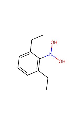 CCc1cccc(CC)c1N(O)O